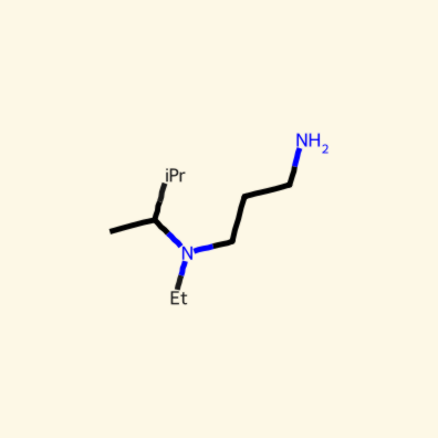 CCN(CCCN)C(C)C(C)C